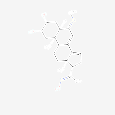 CO/N=C1/C=C2C3=CC[C@H](C(C)=NO)[C@@]3(C)CCC2[C@@]2(C)C[C@H](O)[C@H](O)C[C@@H]12